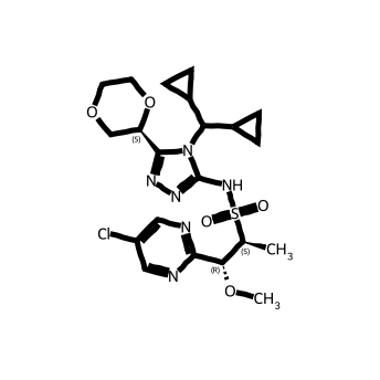 CO[C@H](c1ncc(Cl)cn1)[C@H](C)S(=O)(=O)Nc1nnc([C@H]2COCCO2)n1C(C1CC1)C1CC1